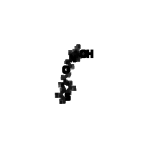 C[C@@H]1CN(CCOCCc2ccc3sccc3c2)C[C@H]1O